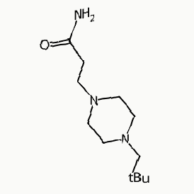 CC(C)(C)CN1CCN(CCC(N)=O)CC1